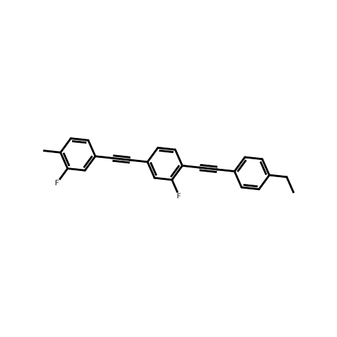 CCc1ccc(C#Cc2ccc(C#Cc3ccc(C)c(F)c3)cc2F)cc1